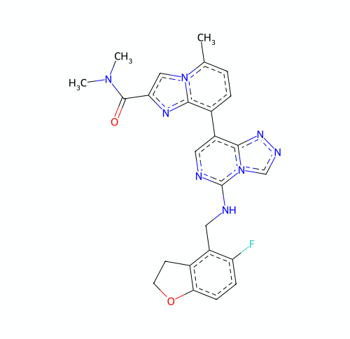 Cc1ccc(-c2cnc(NCc3c(F)ccc4c3CCO4)n3cnnc23)c2nc(C(=O)N(C)C)cn12